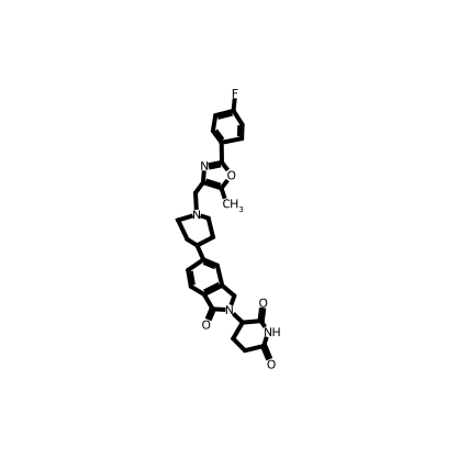 Cc1oc(-c2ccc(F)cc2)nc1CN1CCC(c2ccc3c(c2)CN(C2CCC(=O)NC2=O)C3=O)CC1